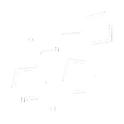 O=C(c1ccnc(Cl)c1)N(Cc1ccccc1)c1ccccc1